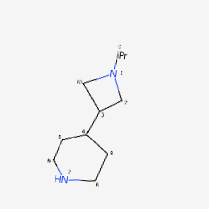 CC(C)N1CC(C2CCNCC2)C1